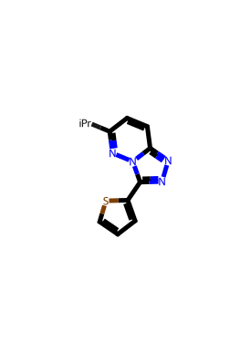 CC(C)c1ccc2nnc(-c3cccs3)n2n1